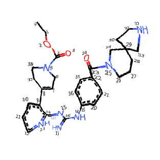 CCOC(=O)N1CC=C(c2ccc[nH]/c2=N\C(=N)Nc2ccc(C(=O)N3CCCC4(CCNC4)C3)cc2)CC1